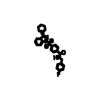 O=C(NCc1ccc(F)cc1)c1ccc(S(=O)(=O)n2nc(N3CCCCC3)c3ccccc32)cc1